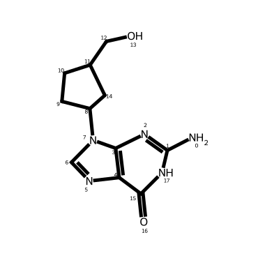 Nc1nc2c(ncn2C2CCC(CO)C2)c(=O)[nH]1